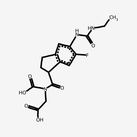 CCNC(=O)Nc1cc2c(cc1F)C(C(=O)N(CC(=O)O)C(=O)O)CC2